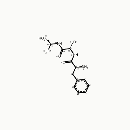 CC(C)[C@H](NC(=O)[C@@H](N)Cc1ccccc1)C(=O)N[C@@H](C)C(=O)O